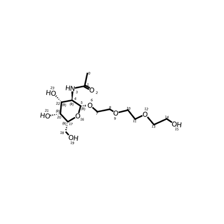 CC(=O)N[C@H]1[C@H](OCCOCCOCCO)O[C@H](CO)[C@H](O)[C@@H]1O